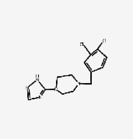 Clc1ccc(CN2CCN(c3ncn[nH]3)CC2)cc1Cl